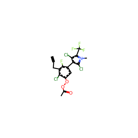 C#CCc1c(F)c(-c2c(Cl)c(C(F)(F)F)n(C)c2Cl)cc(OOC(C)=O)c1Cl